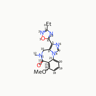 CCc1noc(-c2ncn3c2CN(C)C(=O)c2c(OC)cccc2-3)n1